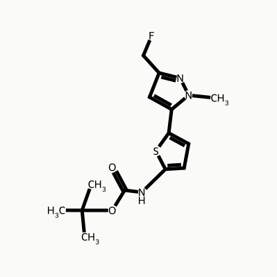 Cn1nc(CF)cc1-c1ccc(NC(=O)OC(C)(C)C)s1